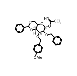 COc1ccc(CO[C@@H]2C(OCc3ccccc3)[C@@H](OC(=N)C(Cl)(Cl)Cl)OC3COC(c4ccccc4)O[C@@H]32)cc1